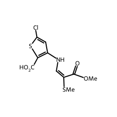 COC(=O)C(=CNc1cc(Cl)sc1C(=O)O)SC